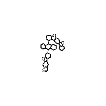 c1ccc2c(c1)oc1cc3oc4cccc(-c5c6ccccc6c(-c6ccc7c(c6)oc6cc8sccc8cc67)c6ccccc56)c4c3cc12